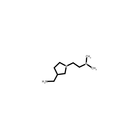 CN(C)CCN1CCC(CN)C1